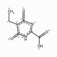 CCn1c(=O)nc(C(=O)O)[nH]c1=O